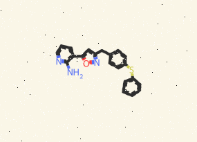 Nc1ncccc1-c1cc(Cc2ccc(Sc3ccccc3)cc2)no1